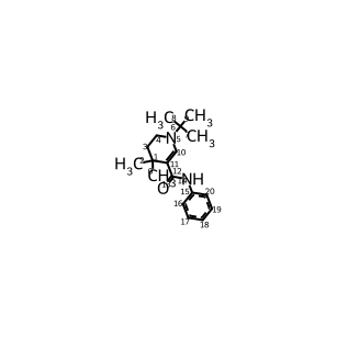 CC1(C)CCN(C(C)(C)C)C=C1C(=O)Nc1ccccc1